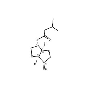 CC(C)CC(=O)O[C@H]1CO[C@H]2[C@@H]1OC[C@H]2O